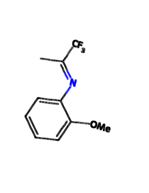 COc1ccccc1N=C(C)C(F)(F)F